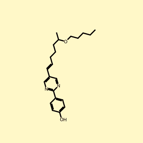 CCCCCOC(C)CCC/C=C/c1cnc(-c2ccc(O)cc2)nc1